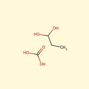 CCC(O)O.O=C(O)O